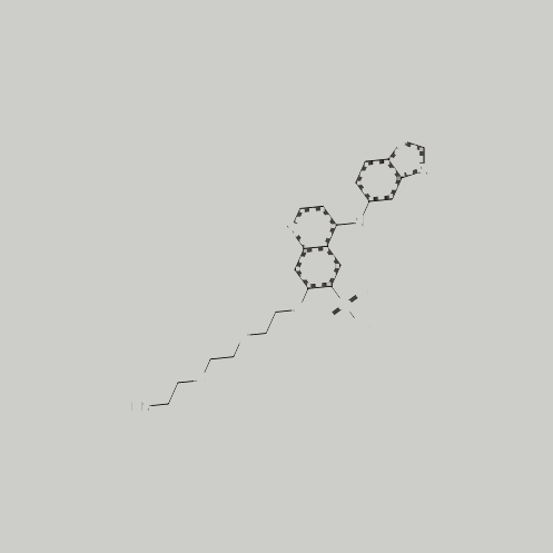 CC(C)(C)S(=O)(=O)c1cc2c(Nc3ccc4scnc4c3)ccnc2cc1OCCOCCOCCN